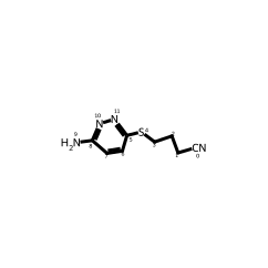 N#CCCCSc1ccc(N)nn1